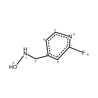 ONCc1ccnc(F)c1